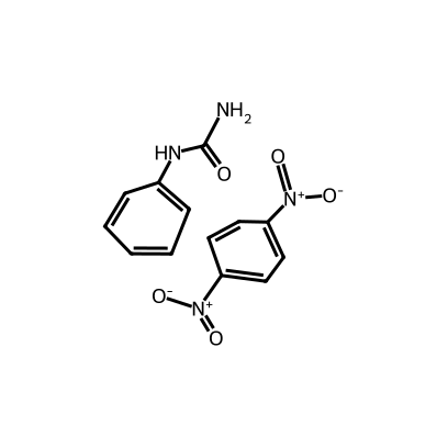 NC(=O)Nc1ccccc1.O=[N+]([O-])c1ccc([N+](=O)[O-])cc1